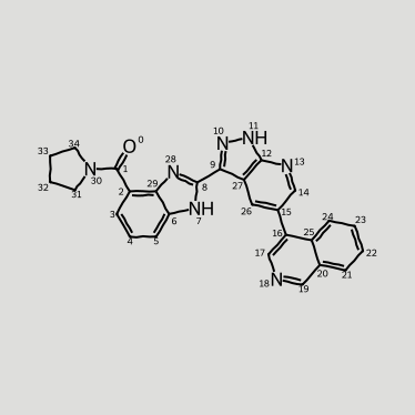 O=C(c1cccc2[nH]c(-c3n[nH]c4ncc(-c5cncc6ccccc56)cc34)nc12)N1CCCC1